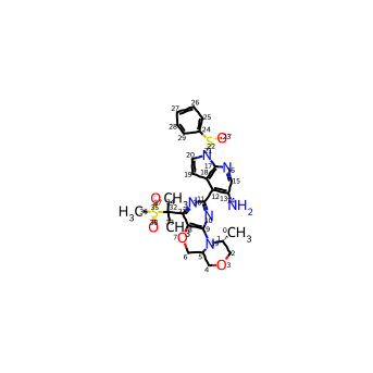 C[C@@H]1COCC2COc3c(nc(-c4c(N)cnc5c4ccn5[S+]([O-])c4ccccc4)nc3C(C)(C)S(C)(=O)=O)N21